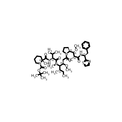 CC[C@H](C)C([C@@H](CC(=O)N1CCC[C@H]1[C@H](OC)[C@@H](C)C(=O)N[C@@H](Cc1ccccc1)c1nccs1)OC)N(C)C(=O)[C@@H](NC(=O)[C@@]1(C)CCCCN1C(=O)OC(C)(C)C)C(C)C